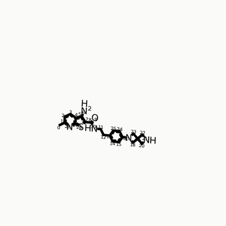 Cc1ccc2c(N)c(C(=O)NCCc3ccc(N4CC5(CNC5)C4)cc3)sc2n1